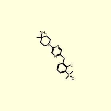 CC1(N)CCN(c2cnc(Sc3cccc(P(C)(C)=O)c3Cl)cn2)CC1